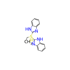 CC[SH](c1nc2ccccc2[nH]1)c1nc2ccccc2[nH]1